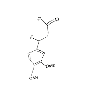 COc1ccc(C(F)CC(=O)Cl)cc1OC